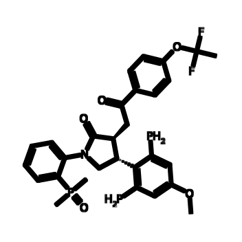 COc1cc(P)c([C@@H]2CN(c3ccccc3P(C)(C)=O)C(=O)[C@H]2CC(=O)c2ccc(OC(C)(F)F)cc2)c(P)c1